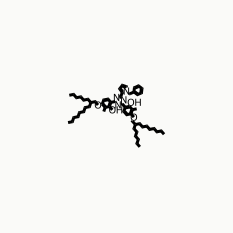 CCCCCCCCC(CCCCCC)COc1ccc(-c2nc(-c3ccc(OCC(CCCCCC)CCCCCCCC)c(C)c3O)nc(-c3cccn3Cc3ccccc3)n2)c(O)c1C